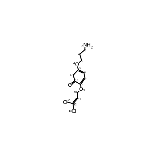 NCCCOC1=CC=C(OCC=C(Cl)Cl)C(=O)C1